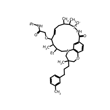 CCC1CN2CC(C)(CCCc3cccc(C)c3)COc3ccc(cc32)C(=O)N[S+]([O-])C(C)C(C)C/C=C/C(OCC(=O)NC(C)C)C1C